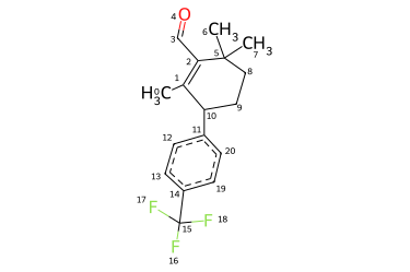 CC1=C(C=O)C(C)(C)CCC1c1ccc(C(F)(F)F)cc1